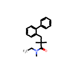 CN(CC(F)(F)F)C(=O)C(C)(C)Cc1ccccc1-c1ccccc1